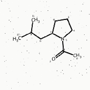 CC(=O)N1CCCC1CC(C)C